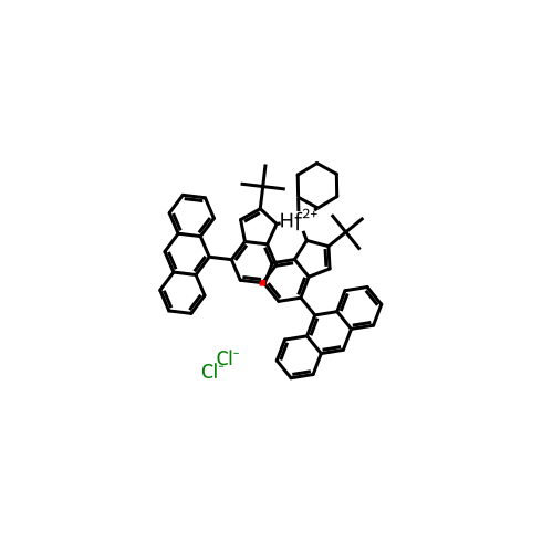 CC(C)(C)C1=Cc2c(-c3c4ccccc4cc4ccccc34)cccc2[CH]1[Hf+2]1([CH]2C(C(C)(C)C)=Cc3c(-c4c5ccccc5cc5ccccc45)cccc32)[CH]2CCCC[CH]21.[Cl-].[Cl-]